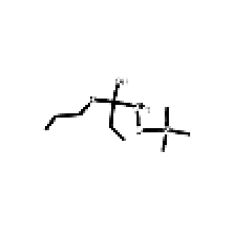 CCCOC(O)(CC)[SiH2]O[Si](C)(C)C